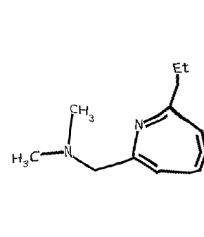 CCc1cccc(CN(C)C)n1